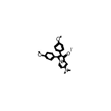 COc1ccc(C2=C(c3ccc(OC)cc3)[n+]3ccc(N(C)C)cc3C2=O)cc1.[I-]